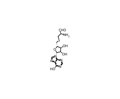 N[C@H](C=O)CSC[C@H]1O[C@@H](n2cnc3c(O)ncnc32)[C@H](O)[C@@H]1O